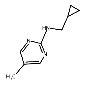 Cc1cnc(NCC2CC2)nc1